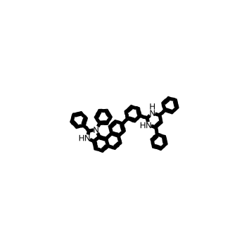 C1=C(c2ccccc2)NC(c2cccc(-c3ccc4c(ccc5ccc6c(c54)N(c4ccccc4)C(c4ccccc4)N6)c3)c2)NC1c1ccccc1